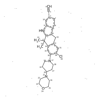 C#Cc1ccc2c3c([nH]c2c1)C(C)(C)c1cc(N2CCC(N4CCOCC4)CC2)c(Cl)cc1C3